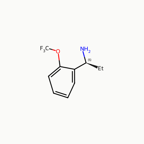 CC[C@H](N)c1ccccc1OC(F)(F)F